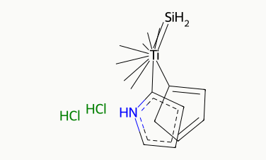 Cl.Cl.[CH3][Ti]([CH3])([CH3])([CH3])([CH3])([CH3])([CH3])(=[SiH2])([C]1=CC=CC1)[c]1ccc[nH]1